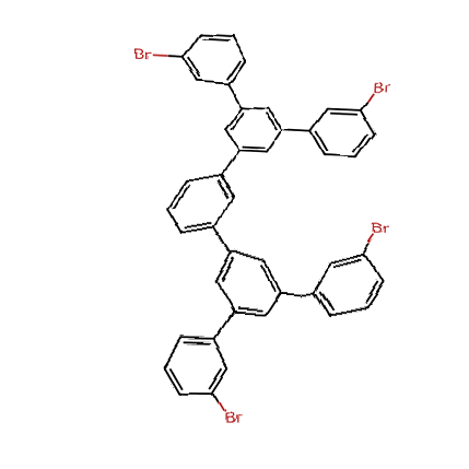 Brc1cccc(-c2cc(-c3cccc(Br)c3)cc(-c3cccc(-c4cc(-c5cccc(Br)c5)cc(-c5cccc(Br)c5)c4)c3)c2)c1